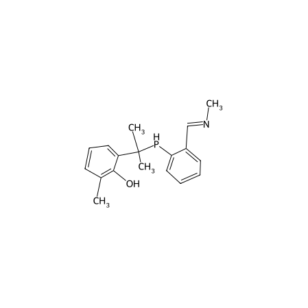 C/N=C/c1ccccc1PC(C)(C)c1cccc(C)c1O